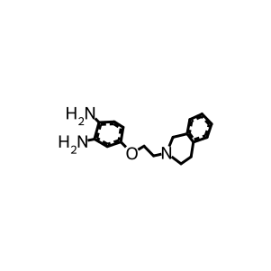 Nc1ccc(OCCN2CCc3ccccc3C2)cc1N